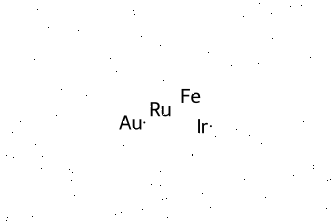 [Au].[Fe].[Ir].[Ru]